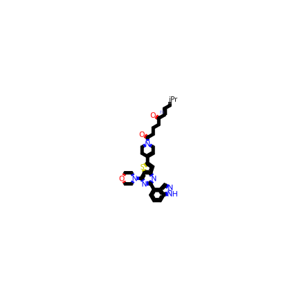 CC(C)C/C=C/C(=O)CCCC(=O)N1CC=C(c2cc3nc(-c4cccc5[nH]ncc45)nc(N4CCOCC4)c3s2)CC1